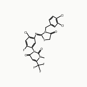 Cn1c(C(F)(F)F)cc(=O)n(-c2cc(N=C3SCC(=O)N3Cc3ccc(Cl)c(Cl)c3)c(Cl)cc2F)c1=O